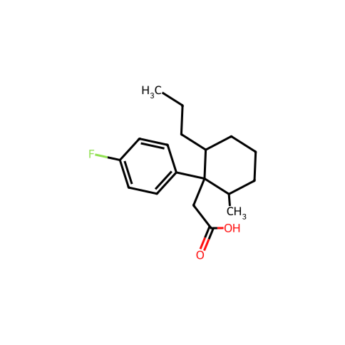 CCCC1CCCC(C)C1(CC(=O)O)c1ccc(F)cc1